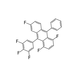 Fc1ccc2c(-c3ccccc3)c3c(F)ccc(F)c3c(-c3cc(F)c(F)c(F)c3)c2c1